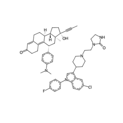 CC#C[C@]1(O)CC[C@H]2[C@@H]3CCC4=CC(=O)CCC4=C3[C@@H](c3ccc(N(C)C)cc3)C[C@@]21C.O=C1NCCN1CCN1CCC(c2cn(-c3ccc(F)cc3)c3ccc(Cl)cc23)CC1